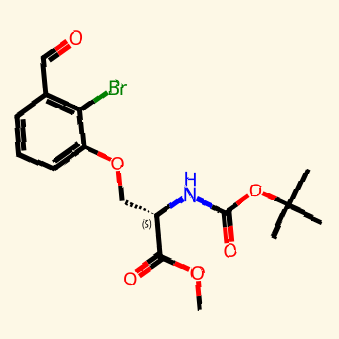 COC(=O)[C@H](COc1cccc(C=O)c1Br)NC(=O)OC(C)(C)C